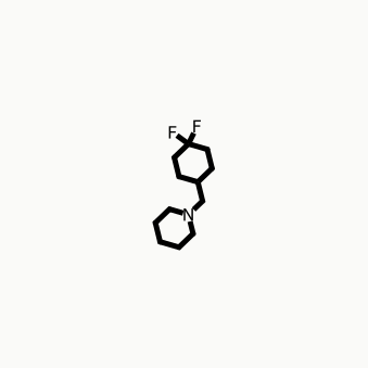 FC1(F)CCC(CN2CCCCC2)CC1